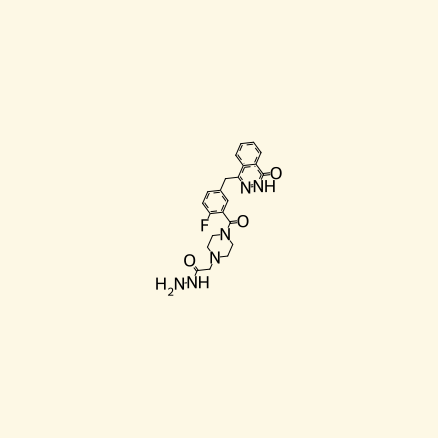 NNC(=O)CN1CCN(C(=O)c2cc(Cc3n[nH]c(=O)c4ccccc34)ccc2F)CC1